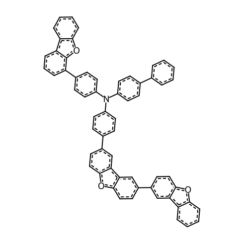 c1ccc(-c2ccc(N(c3ccc(-c4ccc5oc6ccc(-c7ccc8oc9ccccc9c8c7)cc6c5c4)cc3)c3ccc(-c4cccc5c4oc4ccccc45)cc3)cc2)cc1